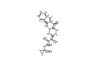 O=C(NCC1(O)CC1)C(=O)N1CCN(C(=O)c2cc3ccccc3[nH]2)CC1